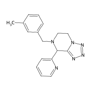 Cc1cccc(CN2CCn3nnnc3C2c2ccccn2)c1